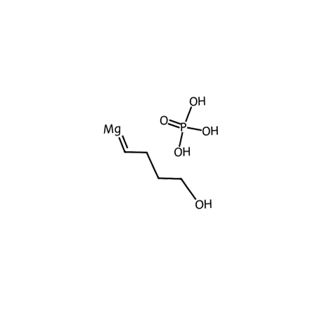 O=P(O)(O)O.OCCC[CH]=[Mg]